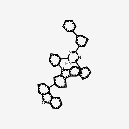 c1ccc(C2=NC(c3cccc(-c4ccccc4)c3)=NC(c3ccccc3-n3c4ccccc4c4ccc(-c5cccc6oc7ccccc7c56)cc43)N2)cc1